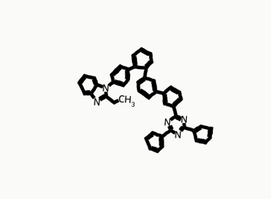 CCc1nc2ccccc2n1-c1ccc(-c2ccccc2-c2cccc(-c3cccc(-c4nc(-c5ccccc5)nc(-c5ccccc5)n4)c3)c2)cc1